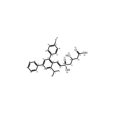 CC(C)c1nc(-c2ccccc2)cc(-c2ccc(F)cc2)c1C=CP(=O)(O)CC(O)CC(=O)O